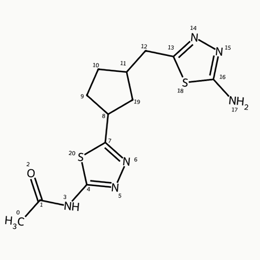 CC(=O)Nc1nnc(C2CCC(Cc3nnc(N)s3)C2)s1